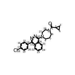 O=C(C1CC1)N1CCCN(c2nnc(-c3ccc(Cl)cc3)c3ccccc23)CC1